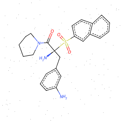 Nc1cccc(C[C@](N)(C(=O)N2CCCCC2)S(=O)(=O)c2ccc3ccccc3c2)c1